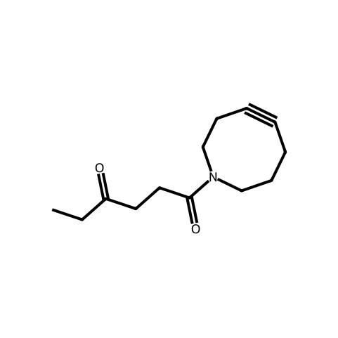 CCC(=O)CCC(=O)N1CCC#CCCC1